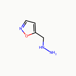 NNCc1ccno1